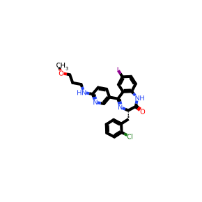 COCCCNc1ccc(C2=N[C@@H](Cc3ccccc3Cl)C(=O)Nc3ccc(I)cc32)cn1